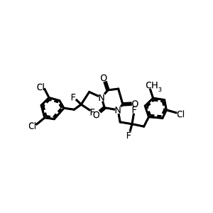 Cc1cc(Cl)cc(CC(F)(F)CN2C(=O)CC(=O)N(CC(F)(F)Cc3cc(Cl)cc(Cl)c3)C2=O)c1